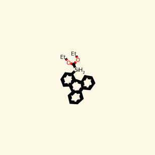 CCOC(OCC)[SiH2]c1cccc2c3ccccc3c3ccccc3c12